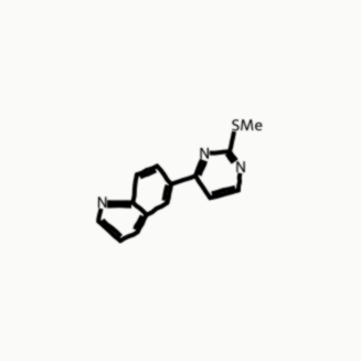 CSc1nccc(-c2ccc3ncccc3c2)n1